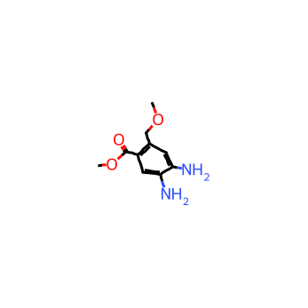 COCc1cc(N)c(N)cc1C(=O)OC